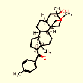 COC[C@]12CC[C@@](C)(O)C[C@@H]1CC[C@H]1[C@@H]3CC[C@H](C(=O)c4ccc(C)cc4)[C@@]3(C)CC[C@@H]12